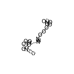 CCC1(OC(=O)CCCc2cn(CCOCCOCCOCC(=O)ON3C(=O)CCC3=O)nn2)C(=O)OCc2c1cc1n(c2=O)Cc2cc3ccccc3cc2-1